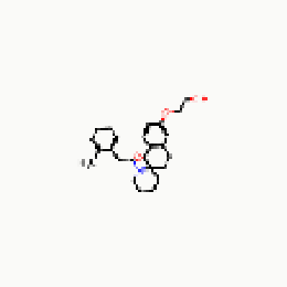 Cc1ccccc1CCN1CCCCC12CCc1cc(OCCO)ccc1C2=O